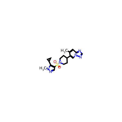 Cc1cc2ncnn2cc1C1CCN(S(=O)(=O)c2cnn(C)c2C2CC2)CC1